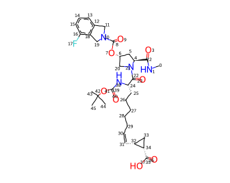 CNC(=O)[C@@H]1C[C@@H](OC(=O)N2Cc3cccc(F)c3C2)CN1C(=O)[C@H](CCCCC/C=C\[C@@H]1C[C@@H]1C(=O)O)NC(=O)OC(C)(C)C